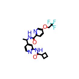 CC(NC(=O)c1ccc(OCC(F)(F)F)cn1)c1ccnc(NC(=O)C2CCC2)c1